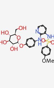 COc1ccc(S(=O)(=O)Nc2cccnc2Nc2ccc(O[C@H]3O[C@H](CO)[C@@H](O)[C@H](O)[C@H]3O)cc2)cc1